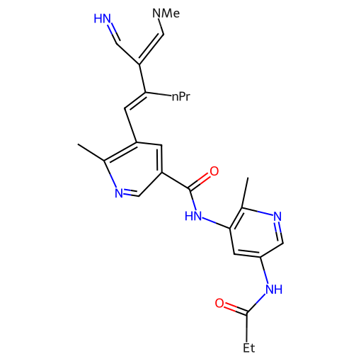 CCCC(=C\c1cc(C(=O)Nc2cc(NC(=O)CC)cnc2C)cnc1C)/C(C=N)=C/NC